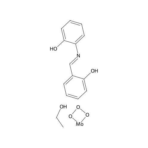 CCO.O1[O][Mo][O]1.Oc1ccccc1C=Nc1ccccc1O